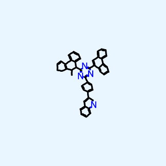 CC1C2=C(C=CCC2)c2ccccc2C1c1nc(-c2ccc(-c3cnc4ccccc4c3)cc2)nc(-c2cc3ccccc3c3ccccc23)n1